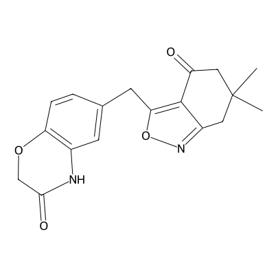 CC1(C)CC(=O)c2c(noc2Cc2ccc3c(c2)NC(=O)CO3)C1